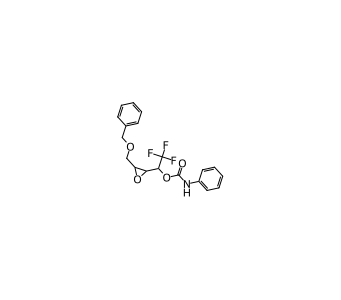 O=C(Nc1ccccc1)OC(C1OC1COCc1ccccc1)C(F)(F)F